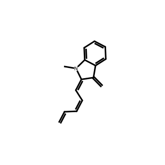 C=C/C=C\C=c1/c(=C)c2ccccc2n1C